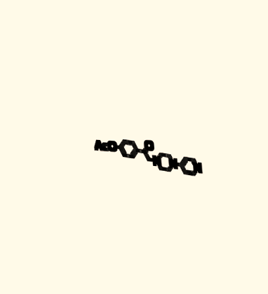 CC(=O)Oc1ccc(C(=O)CN2CCN(c3ccncc3)CC2)cc1